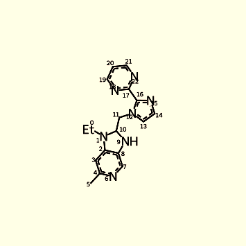 CCN1c2cc(C)ncc2NC1Cn1ccnc1-c1ncccn1